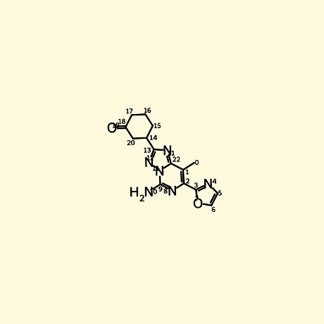 Cc1c(-c2ncco2)nc(N)n2nc(C3CCCC(=O)C3)nc12